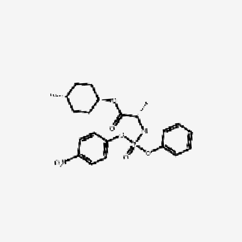 C[C@H](NP(=O)(Oc1ccccc1)Oc1ccc([N+](=O)[O-])cc1)C(=O)O[C@H]1CC[C@H](C)CC1